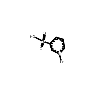 O=S(=O)(O)c1ccc[n+]([O-])c1